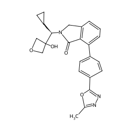 Cc1nnc(-c2ccc(-c3cccc4c3C(=O)N([C@H](C3CC3)C3(O)COC3)C4)cc2)o1